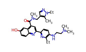 CCc1nc(-c2cc(C(=O)N(C)Cc3cnn(CC)c3C)c3cc(O)ccc3n2)ccc1NCCN(C)C